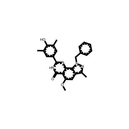 COc1cc2c(C)nn(Cc3ccccc3)c2c2nc(-c3cc(C)c(O)c(C)c3)[nH]c(=O)c12